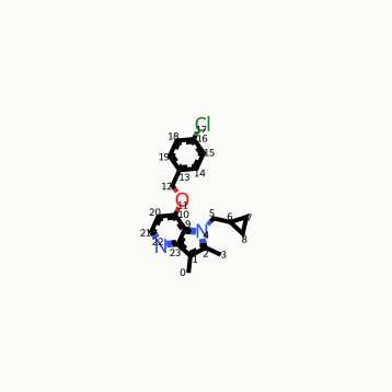 Cc1c(C)n(CC2CC2)c2c(OCc3ccc(Cl)cc3)ccnc12